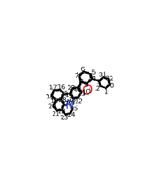 c1ccc(-c2cccc3c2oc2ccc(-c4cccc5ccc6cccnc6c45)cc23)cc1